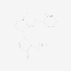 Cl.O=C1CSC(c2ccc(F)c(Br)c2)N1CCc1ccccn1